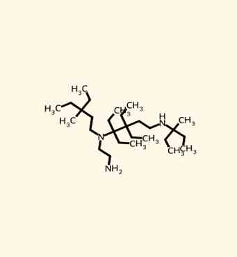 CCC(C)(CC)CCN(CCN)C(CC)(CC)C(CC)(CC)CCNC(C)(CC)CC